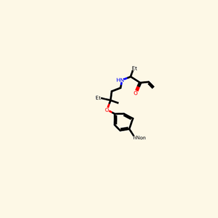 C=CC(=O)C(CC)NCCC(C)(CC)Oc1ccc(CCCCCCCCC)cc1